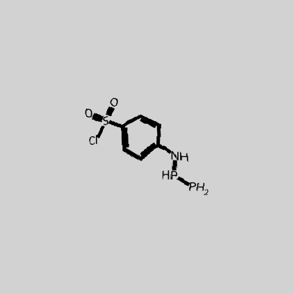 O=S(=O)(Cl)c1ccc(NPP)cc1